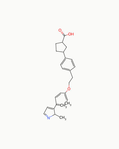 C=C(/C=C\C(=C/C)OCCc1ccc(C2CCC(C(=O)O)C2)cc1)C1=CC=NC1C